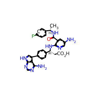 C[C@H](NC(=O)c1cc(N)cnc1N[C@H](CC(=O)O)c1ccc(-c2c[nH]c3ncnc(N)c23)cc1)c1ccc(F)cc1